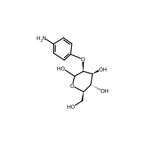 Nc1ccc(O[C@@H]2C(O)O[C@H](CO)[C@@H](O)[C@@H]2O)cc1